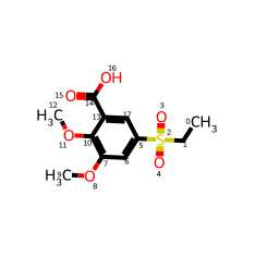 CCS(=O)(=O)c1cc(OC)c(OC)c(C(=O)O)c1